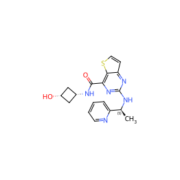 C[C@H](Nc1nc(C(=O)N[C@H]2C[C@@H](O)C2)c2sccc2n1)c1ccccn1